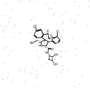 CC(C)(C)C[C@H]1N[C@@H](C(=O)N[C@@H]2CC(O)C2O)[C@H](c2cccc(Cl)c2F)[C@@]12C(=O)Nc1cc(Cl)ccc12